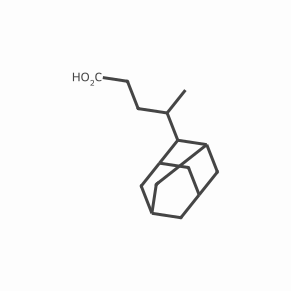 CC(CCC(=O)O)C1C2CC3CC(C2)CC1C3